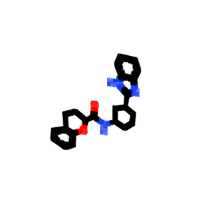 O=C(N[C@@H]1CCC[C@H](c2nc3ccccc3[nH]2)C1)[C@@H]1CCc2ccccc2O1